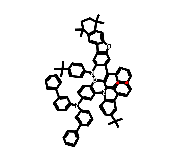 CC(C)(C)c1ccc(N2B3c4ccc(N(c5cccc(-c6ccccc6)c5)c5cccc(-c6ccccc6)c5)cc4N(c4ccc(C(C)(C)C)cc4-c4ccccc4)c4cc5ccccc5c(c43)-c3cc4oc5cc6c(cc5c4cc32)C(C)(C)CCC6(C)C)cc1